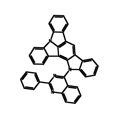 c1ccc(-c2nc(-n3c4ccccc4c4cc5c6ccccc6n6c7ccccc7c(c43)c56)c3ccccc3n2)cc1